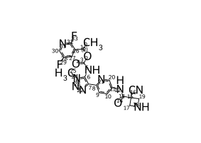 C[C@@H](OC(=O)Nc1c(-c2ccc(NC(=O)C3(C#N)CNC3)cn2)nnn1C)c1cc(F)cnc1F